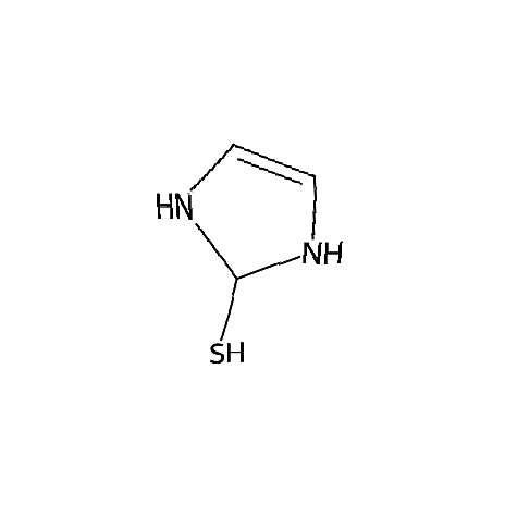 SC1NC=CN1